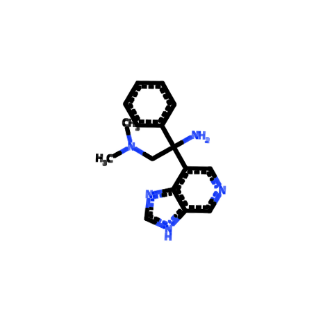 CN(C)CC(N)(c1ccccc1)c1cncc2[nH]cnc12